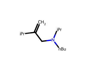 C=C(CN(CCCC)C(C)C)C(C)C